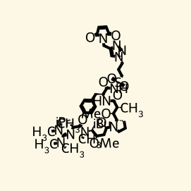 CC[C@H](C)[C@@H]([C@@H](CC(=O)N1CCC[C@H]1[C@H](OC)[C@@H](C)C(=O)N[C@@H](Cc1ccccc1)C(=O)NS(=O)(=O)CCCn1cc(CN2C(=O)C=CC2=O)nn1)OC)N(C)C(=O)[C@@H](N=C(N(C)C)N(C)C)C(C)C